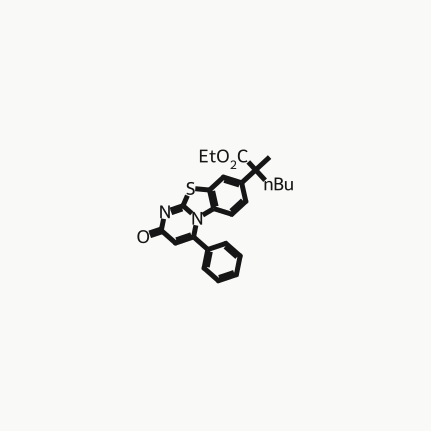 CCCCC(C)(C(=O)OCC)c1ccc2c(c1)sc1nc(=O)cc(-c3ccccc3)n12